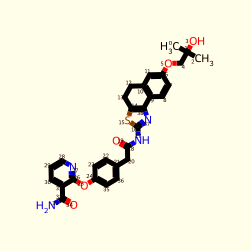 CC(C)(O)COc1ccc2c(c1)CCc1sc(NC(=O)Cc3ccc(Oc4ncccc4C(N)=O)cc3)nc1-2